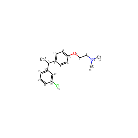 CC[C](c1ccc(OCCN(CC)CC)cc1)c1cccc(Cl)c1